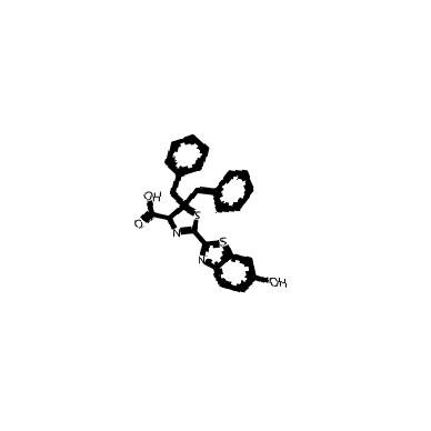 O=C(O)C1N=C(c2nc3ccc(O)cc3s2)SC1(Cc1ccccc1)Cc1ccccc1